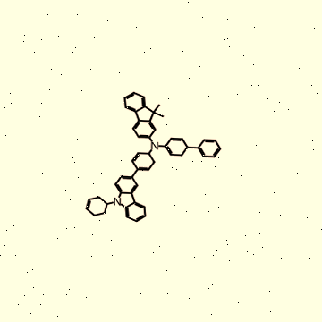 CC1(C)c2ccccc2-c2ccc(N(C3=CCC(c4ccccc4)C=C3)C3C=CC(c4ccc5c(c4)c4ccccc4n5C4CC=CCC4)=CC3)cc21